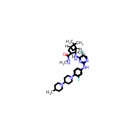 CNC(=O)[C@H]1C[C@H]2C[C@H](C2(C)C)[C@@]1(C)Nc1nc(Nc2ccc(N3CCC(N4CCC(C)CC4)CC3)c(F)c2)ncc1F